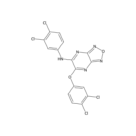 Clc1ccc(Nc2nc3nonc3nc2Oc2ccc(Cl)c(Cl)c2)cc1Cl